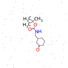 CC(C)(C)OC(=O)NCC1CCCC(=O)C1